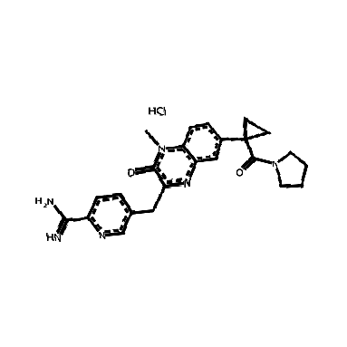 Cl.Cn1c(=O)c(Cc2ccc(C(=N)N)nc2)nc2cc(C3(C(=O)N4CCCC4)CC3)ccc21